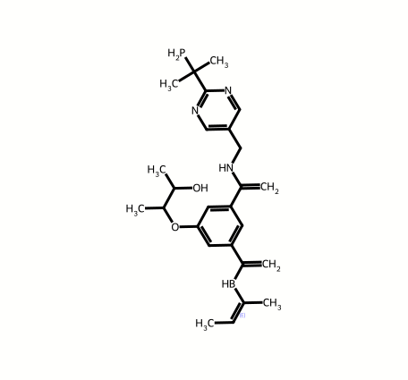 C=C(B/C(C)=C\C)c1cc(OC(C)C(C)O)cc(C(=C)NCc2cnc(C(C)(C)P)nc2)c1